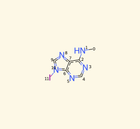 CNc1ncnc2c1ncn2I